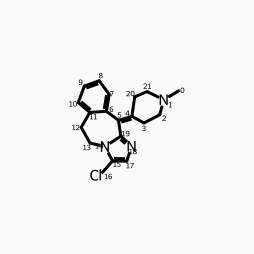 CN1CCC(=C2c3ccccc3CCn3c(Cl)cnc32)CC1